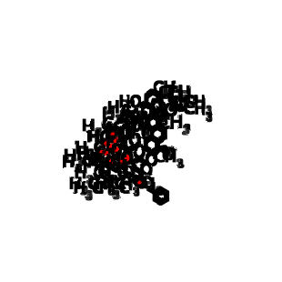 CC[Si](CC)(CC)OCC1O[C@@H](OC2C(O[C@@H]3OC[C@@H](O[Si](CC)(CC)CC)C(O[Si](CC)(CC)CC)C3O[Si](CC)(CC)CC)[C@H](O[Si](CC)(CC)CC)C(C(=O)OCc3ccccc3)O[C@H]2O[C@H]2CCC3(C)C(CCC4(C)C3CC=C3C56C[C@@H](C(C)(C)CCC5CO)[C@@](O[Si](CC)(CC)CC)(C6)CC34C)C2(C)C=O)C(O[Si](CC)(CC)CC)C(O[Si](CC)(CC)CC)[C@H]1O[Si](CC)(CC)CC